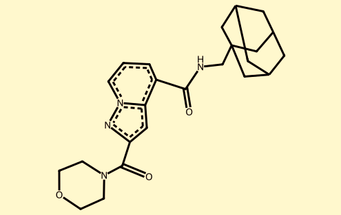 O=C(NCC12CC3CC(CC(C3)C1)C2)c1cccn2nc(C(=O)N3CCOCC3)cc12